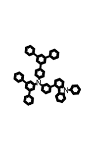 c1ccc(-c2cc(-c3ccccc3)cc(-c3ccc(N(c4cc(-c5ccccc5)cc(-c5ccccc5)c4)c4cccc(-c5cccc6c5c5ccccc5n6-c5ccccc5)c4)cc3)c2)cc1